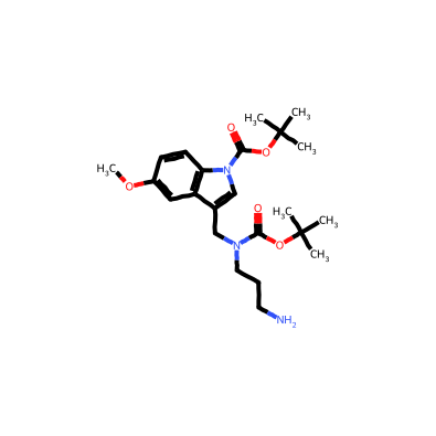 COc1ccc2c(c1)c(CN(CCCN)C(=O)OC(C)(C)C)cn2C(=O)OC(C)(C)C